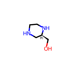 OC[C@H]1CNCCN1